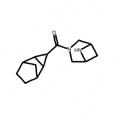 O=C(C1C2C3CCC(C3)C12)N1CC2CC(C1)N2